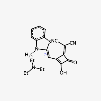 CCN(CC)CC.CN1/C(=C/C2=C(O)C(=O)C2=C(C#N)C#N)Sc2ccccc21